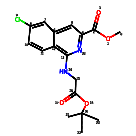 COC(=O)c1cc2cc(Cl)ccc2c(NCC(=O)OC(C)(C)C)n1